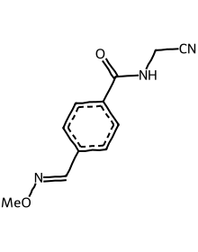 CON=Cc1ccc(C(=O)NCC#N)cc1